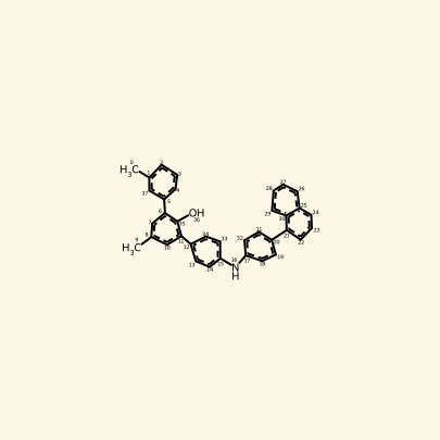 Cc1cccc(-c2cc(C)cc(-c3ccc(Nc4ccc(-c5cccc6ccccc56)cc4)cc3)c2O)c1